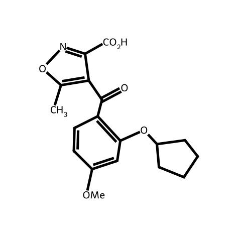 COc1ccc(C(=O)c2c(C(=O)O)noc2C)c(OC2CCCC2)c1